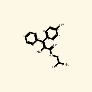 CCCCC(CC)COC(=O)/C(C#N)=C(/c1ccccc1)c1ccc(Cl)cc1